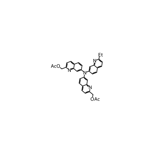 CCc1ccc2ccc(N(c3ccc4ccc(COC(C)=O)nc4c3)c3ccc4ccc(COC(C)=O)nc4c3)cc2n1